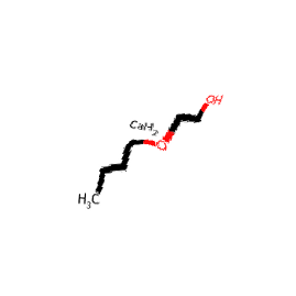 CCCCOCCO.[CaH2]